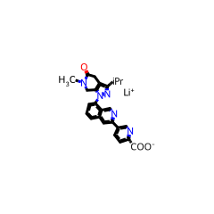 CC(C)c1nn(-c2cccc3cc(-c4ccc(C(=O)[O-])nc4)ncc23)c2c1CC(=O)N(C)C2.[Li+]